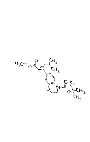 CCOC(=O)C[C@@H](CC(C)C)c1ccc2c(c1)OCCN2C(=O)OC(C)(C)C